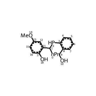 CCCC(Pc1ccccc1CO)c1cc(OC)ccc1O